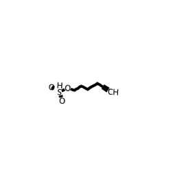 C#CCCCCO[SH](=O)=O